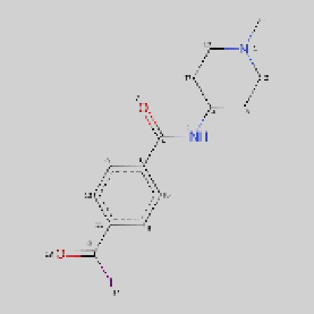 CN1CCC(NC(=O)c2ccc(C(=O)I)cc2)CC1